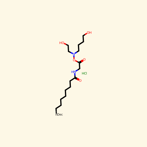 CCCCCCCCCCCCCCCCCC(=O)NCC(=O)ON(CCO)CCCCO.Cl